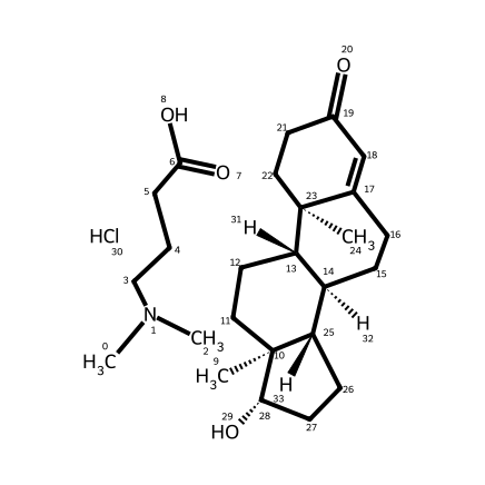 CN(C)CCCC(=O)O.C[C@]12CC[C@H]3[C@@H](CCC4=CC(=O)CC[C@@]43C)[C@@H]1CC[C@@H]2O.Cl